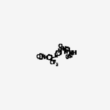 C[S+]([O-])Nc1ccn(C(=O)N2CCN(Cc3ccc(N4CCOCC4)cc3C(F)(F)F)CC2)n1